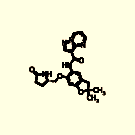 CC1(C)Cc2cc(NC(=O)c3cnn4cccnc34)c(OC[C@@H]3CCC(=O)N3)cc2O1